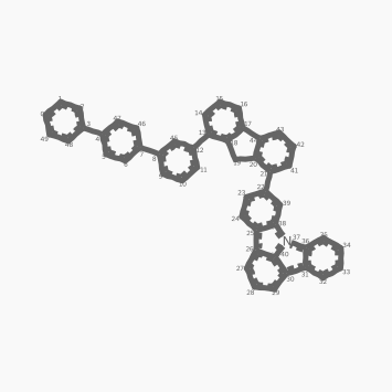 c1ccc(-c2ccc(-c3cccc(-c4cccc5c4Cc4c(-c6ccc7c8cccc9c%10ccccc%10n(c7c6)c98)cccc4-5)c3)cc2)cc1